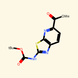 COC(=O)c1ccc2nc(NC(=O)OC(C)(C)C)sc2n1